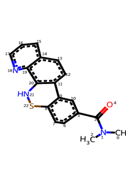 CN(C)C(=O)c1ccc2c(c1)-c1ccc3cccnc3c1NS2